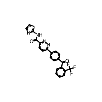 O=C(Nc1nccs1)c1ccc(-c2ccc(C(=O)c3ccccc3C(F)(F)F)cc2)nn1